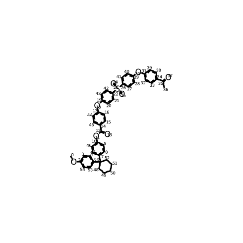 COc1ccc(C2(c3ccc(OC(=O)c4ccc(Oc5ccc(S(=O)(=O)c6ccc(Oc7ccc(C(C)=O)cc7)cc6)cc5)cc4)cc3)CCCCC2)cc1